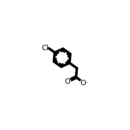 [O]C(=O)Cc1ccc(Cl)cc1